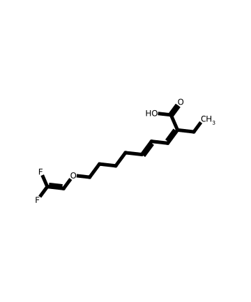 CCC(=CC=CCCCCOC=C(F)F)C(=O)O